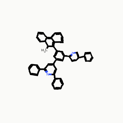 CC1C(c2cc(-c3cc(-c4cc#ccc4)nc(-c4ccccc4)c3)cc(-c3ccc(-c4ccccc4)cn3)c2)=c2ccccc2=C2C=CC=CC21